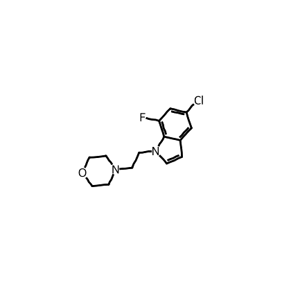 Fc1cc(Cl)cc2ccn(CCN3CCOCC3)c12